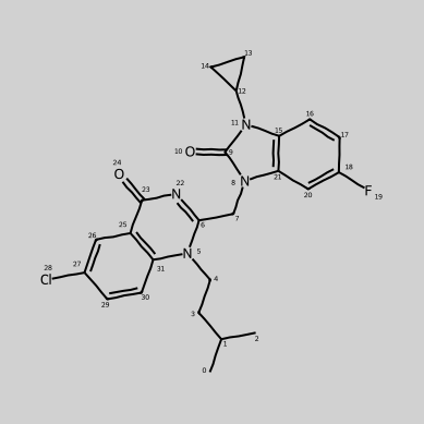 CC(C)CCn1c(Cn2c(=O)n(C3CC3)c3ccc(F)cc32)nc(=O)c2cc(Cl)ccc21